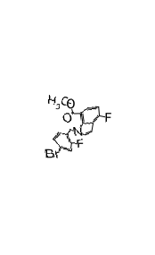 COC(=O)c1ccc(F)c2ccn(Cc3ccc(Br)cc3F)c12